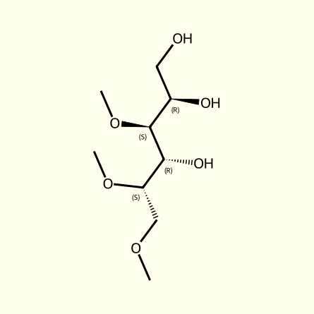 COC[C@H](OC)[C@@H](O)[C@@H](OC)[C@H](O)CO